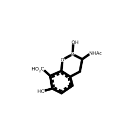 CC(=O)NC1Cc2ccc(O)c(C(=O)O)c2OB1O